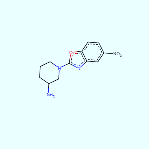 NC1CCCN(c2nc3cc([N+](=O)[O-])ccc3o2)C1